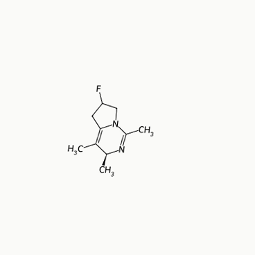 CC1=N[C@@H](C)C(C)=C2CC(F)CN12